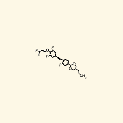 CCCC1COC(c2ccc(C#Cc3cc(F)c(O/C=C/C(F)F)c(F)c3)c(F)c2)OC1